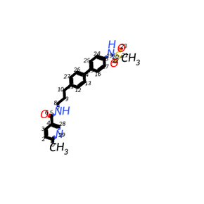 Cc1ccc(C(=O)NCCCc2ccc(-c3ccc(NS(C)(=O)=O)cc3)cc2)cn1